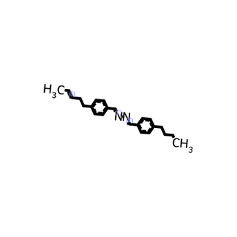 C/C=C/CCc1ccc(/C=N/N=C/c2ccc(CCCC)cc2)cc1